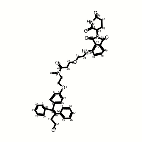 CN(CCOc1ccc(C(=C(CCCl)c2ccccc2)c2ccccc2)cc1)C(=O)CCOCCNc1cccc2c1C(=O)N(C1CCC(=O)NC1=O)C2=O